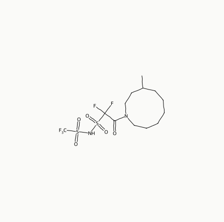 CC1CCCCCCN(C(=O)C(F)(F)S(=O)(=O)NS(=O)(=O)C(F)(F)F)CC1